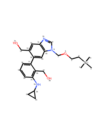 C[Si](C)(C)CCOCn1cnc2cc(CO)c(-c3cccc(NC4CC4)c3CO)cc21